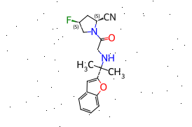 CC(C)(NCC(=O)N1C[C@@H](F)C[C@H]1C#N)c1cc2ccccc2o1